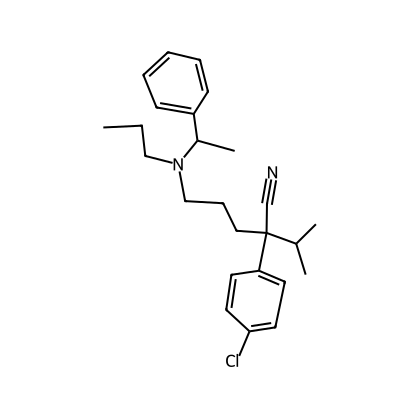 CCCN(CCCC(C#N)(c1ccc(Cl)cc1)C(C)C)C(C)c1ccccc1